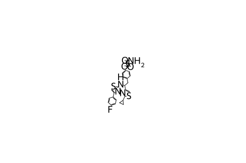 NS(=O)(=O)Oc1ccc(CC(Nc2nc(-c3ccc(F)cc3)cs2)c2csc(C3CC3)n2)cc1